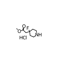 COC(=O)CC1(F)CCNCC1.Cl